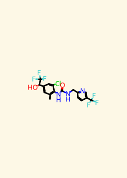 Cc1cc(C(O)C(F)(F)F)cc(Cl)c1NC(=O)NCc1ccc(C(F)(F)F)cn1